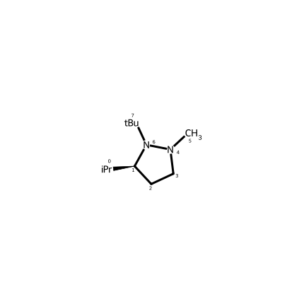 CC(C)[C@@H]1CCN(C)N1C(C)(C)C